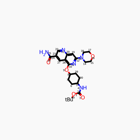 CC(C)(C)OC(=O)NC1CCC(Oc2nc(N3CCOCC3)cc3ncc(C(N)=O)cc23)CC1